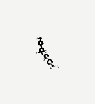 NC(=O)N1CCC(N2CC[C@@H](Cc3c(Cl)cc(-c4ccc(C(F)(F)F)cc4)cc3Cl)C2=O)CC1